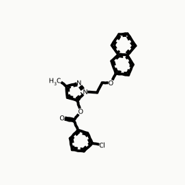 Cc1cc(OC(=O)c2cccc(Cl)c2)n(CCOc2ccc3ccccc3c2)n1